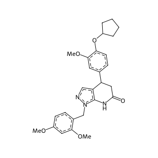 COc1ccc(Cn2ncc3c2NC(=O)CC3c2ccc(OC3CCCC3)c(OC)c2)c(OC)c1